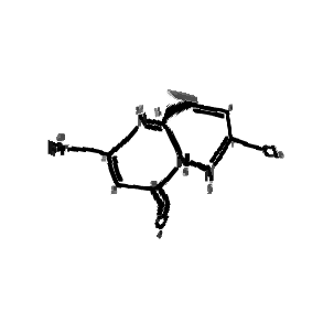 CC(C)c1cc(=O)n2nc(Cl)ccc2n1